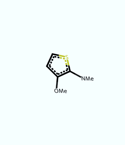 CNc1sccc1OC